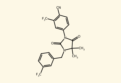 CC1(C)C(=O)N(c2ccc(C#N)c(C(F)(F)F)c2)C(=O)N1Cc1cccc(C(F)(F)F)c1